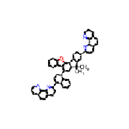 CC1(C)c2cc(-c3ccc4ccc5cccnc5c4n3)ccc2-c2c1cc(-c1ccc(-c3ccc4ccc5cccnc5c4n3)c3ccccc13)c1c2oc2ccccc21